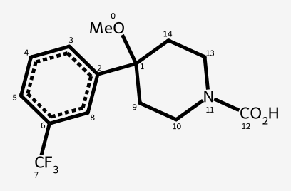 COC1(c2cccc(C(F)(F)F)c2)CCN(C(=O)O)CC1